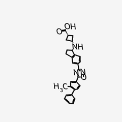 Cc1cc(-c2nc(-c3ccc4c(c3)CC[C@@H]4N[C@H]3C[C@H](C(=O)O)C3)no2)ccc1-c1ccccc1